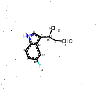 C[C@@H](CC=O)c1c[nH]c2ccc(F)cc12